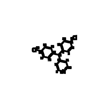 Clc1ccc(C(c2ccncc2)c2ccc(Cl)cc2)cc1